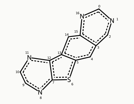 c1ncc2cc3sc4nccnc4c3cc2n1